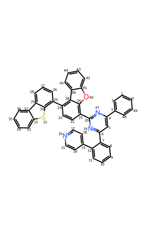 c1ccc(-c2cc(-c3ccccc3-c3ccncc3)nc(-c3ccc(-c4cccc5c4sc4ccccc45)c4c3oc3ccccc34)n2)cc1